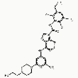 COc1cc(C)c(Cl)c(NC(=O)c2csc3c(Nc4cc(N5CCN(CCO)CC5)nc(C)n4)ncnc23)c1Cl